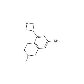 CN1CCc2c(cc(N)cc2C2COC2)C1